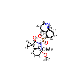 COC1(OC(C)C)C=CCC(C2(C(=O)NS(=O)(=O)c3cccc4ncccc34)CC2)=C1